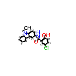 CCn1c2ccccc2c2cc(NC(=O)c3cc(Cl)ccc3O)ccc21